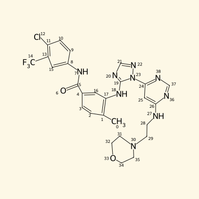 Cc1ccc(C(=O)Nc2ccc(Cl)c(C(F)(F)F)c2)cc1Nc1ncnn1-c1cc(NCCN2CCOCC2)ncn1